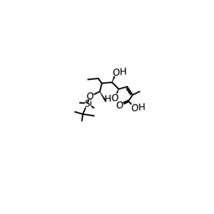 CCC([C@@H](O)[C@H](O)C=C(C)C(=O)O)[C@@H](C)O[Si](C)(C)C(C)(C)C